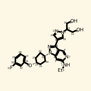 CCNc1cc2c(cn1)c(-c1cnn(C(CO)CO)c1)nn2[C@H]1CC[C@@H](Oc2cccc(F)c2)CC1